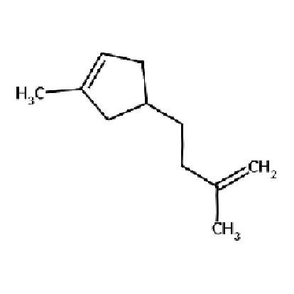 C=C(C)CCC1CC=C(C)C1